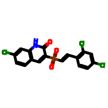 O=c1[nH]c2cc(Cl)ccc2cc1S(=O)(=O)/C=C/c1ccc(Cl)cc1Cl